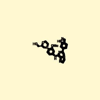 COc1cc(Nc2nc(-c3ccc4cn[nH]c4c3)cn3ccnc23)ccc1N1CCO[C@H](CO)C1